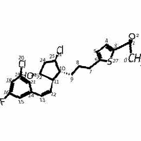 CC(=O)c1ccc(CCC[C@@H]2[C@@H](/C=C\c3cc(F)cc(Cl)c3)[C@H](O)C[C@H]2Cl)s1